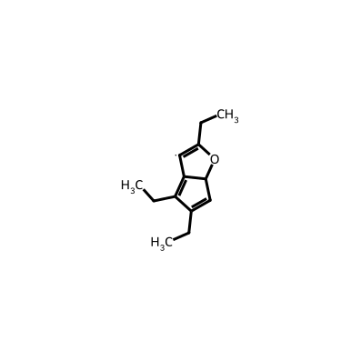 CCC1=[C]C2=C(CC)C(CC)=CC2O1